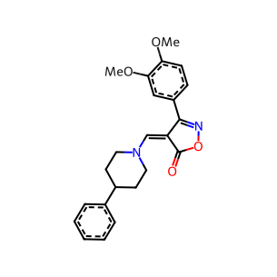 COc1ccc(C2=NOC(=O)C2=CN2CCC(c3ccccc3)CC2)cc1OC